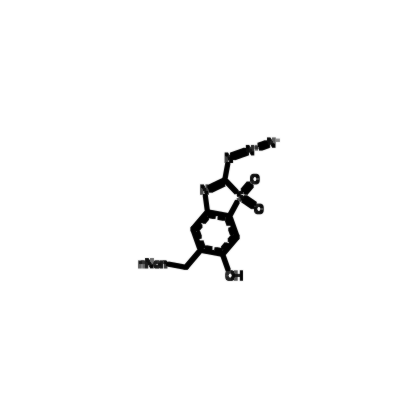 CCCCCCCCCCc1cc2c(cc1O)S(=O)(=O)C(N=[N+]=[N-])=N2